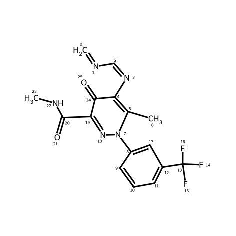 C=N/C=N\c1c(C)n(-c2cccc(C(F)(F)F)c2)nc(C(=O)NC)c1=O